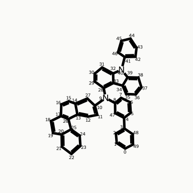 c1ccc(-c2cccc(N(c3ccc4c(ccc5ccc6ccccc6c54)c3)c3cccc4c3c3ccccc3n4-c3ccccc3)c2)cc1